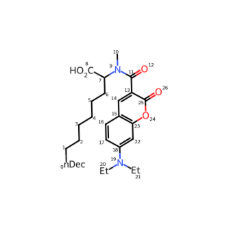 CCCCCCCCCCCCCCCCC(C(=O)O)N(C)C(=O)c1cc2ccc(N(CC)CC)cc2oc1=O